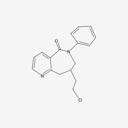 O=C1c2cccnc2CC(CCCl)CN1c1ccccc1